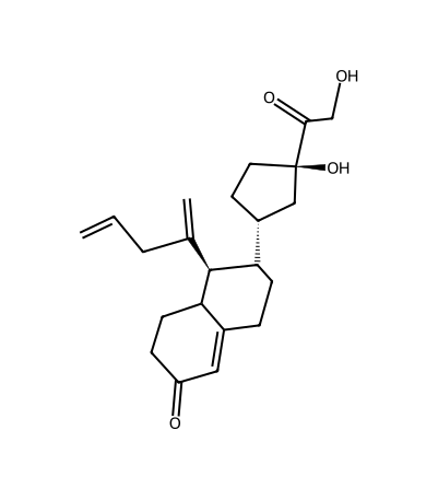 C=CCC(=C)[C@@H]1C2CCC(=O)C=C2CCC1[C@@H]1CC[C@](O)(C(=O)CO)C1